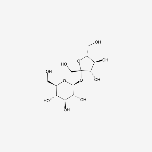 OC[C@H]1O[C@@](CO)(O[C@@H]2O[C@H](CO)[C@@H](O)[C@H](O)[C@H]2O)[C@@H](O)[C@@H]1O